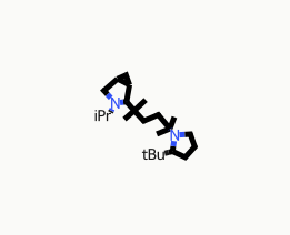 CC(C)N1CC2CC2C1C(C)(C)CCC(C)(C)N1CCCC1C(C)(C)C